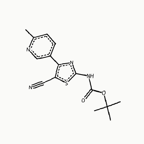 Cc1ccc(-c2nc(NC(=O)OC(C)(C)C)sc2C#N)cn1